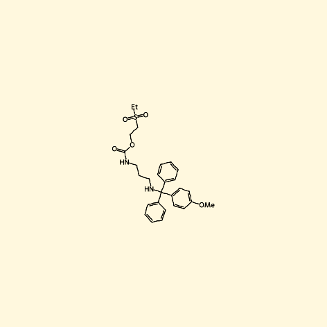 [CH2]CS(=O)(=O)CCOC(=O)NCCCNC(c1ccccc1)(c1ccccc1)c1ccc(OC)cc1